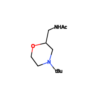 CC(=O)NCC1CN(C(C)(C)C)CCO1